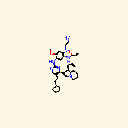 C=CC(=O)Nc1cc(Nc2ncc(CCC3CCCC3)c(-c3cn4c5c(cccc35)CCC4)n2)c(OC)cc1N(C)CCN(C)C